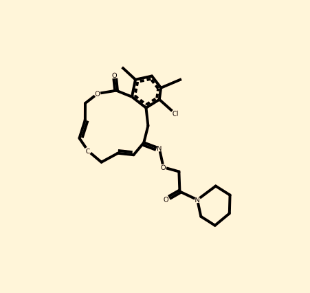 Cc1cc(C)c2c(c1Cl)CC(=N/OCC(=O)N1CCCCC1)/C=C/CC/C=C/COC2=O